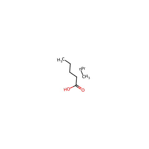 CCCC.CCCCC(=O)O